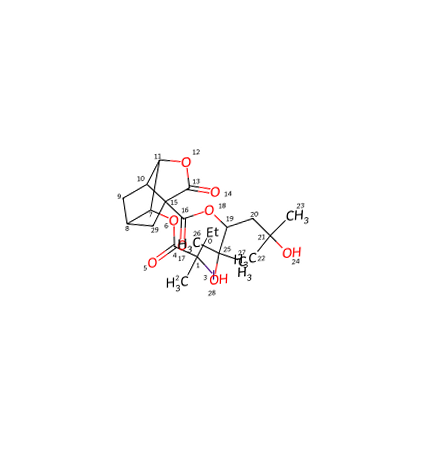 CCC(C)(I)C(=O)OC1C2CC3C1OC(=O)C3(C(=O)OC(CC(C)(C)O)C(C)(C)O)C2